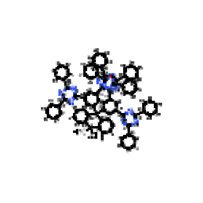 CC1(C)c2ccccc2C(c2cc(-c3nc(-c4ccccc4)nc(-c4ccccc4)n3)cc(-c3nc(-c4ccccc4)nc(-c4ccccc4)n3)c2)(c2cc(-c3nc(-c4ccccc4)nc(-c4ccccc4)n3)cc(-c3nc(-c4ccccc4)nc(-c4ccccc4)n3)c2)c2ccccc21